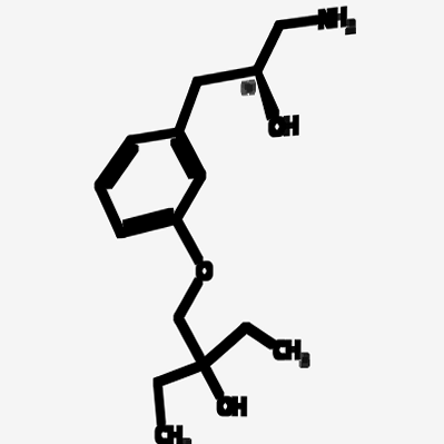 CCC(O)(CC)COc1cccc(C[C@H](O)CN)c1